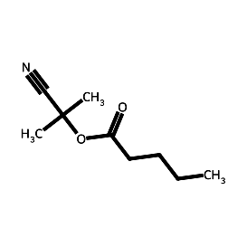 CCCCC(=O)OC(C)(C)C#N